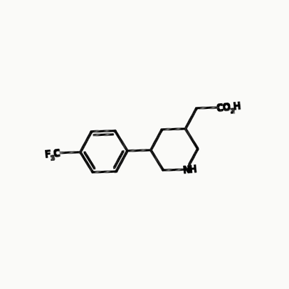 O=C(O)CC1CNCC(c2ccc(C(F)(F)F)cc2)C1